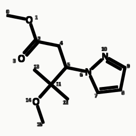 COC(=O)CC(n1cccn1)C(C)(C)OC